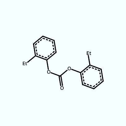 CCc1ccccc1OC(=O)Oc1ccccc1CC